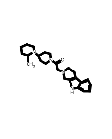 CC1CCCCN1C1CCN(C(=O)CN2CCc3c([nH]c4ccccc34)C2)CC1